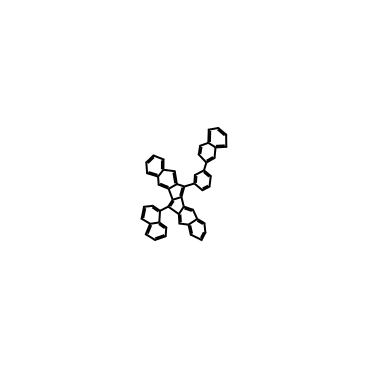 c1cc(C2=C3C(=C(c4cccc5ccccc45)c4cc5ccccc5cc43)c3cc4ccccc4cc32)cc(-c2ccc3ccccc3c2)c1